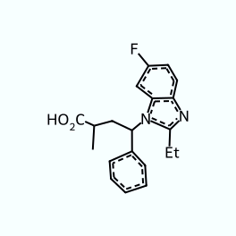 CCc1nc2ccc(F)cc2n1C(CC(C)C(=O)O)c1ccccc1